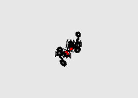 CN1Cc2ccccc2C(OC(=O)/C=C/C(=O)OC2(c3ccncc3)N=C(CCc3ccccc3)N(C)Cc3ccccc32)(c2ccncc2)N=C1CCc1ccccc1